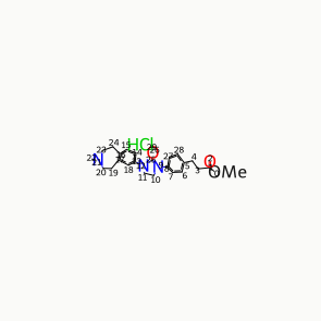 COC(=O)CCc1ccc(N2CCN(c3ccc4c(c3)CCN(C)CC4)C2=O)cc1.Cl